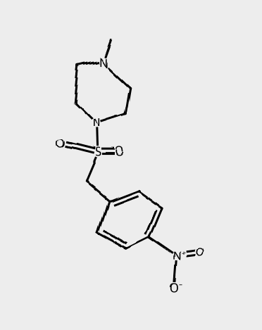 CN1CCN(S(=O)(=O)Cc2ccc([N+](=O)[O-])cc2)CC1